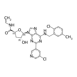 C=CNC(=O)[C@@H]1C[C@@H](O)[C@H](n2cnc3c(NCc4cc(C)ccc4Cl)nc(-c4cncc(Cl)c4)nc32)O1